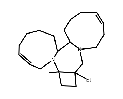 CCC12CCC1(C)N1C/C=C\CCCCC1C1CCC/C=C\CCN1C2